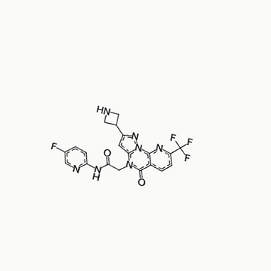 O=C(Cn1c(=O)c2ccc(C(F)(F)F)nc2n2nc(C3CNC3)cc12)Nc1ccc(F)cn1